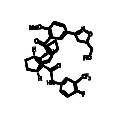 COc1ccc(C2=NOC(CO)C2)cc1C(=O)N[C@H]1[C@@H](C(=O)Nc2ccc(F)c(C(F)(F)F)c2)[C@H]2CC[C@@H]1/C2=C\C1CCC1